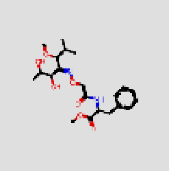 COC(=O)[C@H](Cc1ccccc1)NC(=O)CO/N=C(\C(O)C(C)O)[C@@H](OC)C(C)C